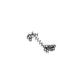 CC(NCCCCCCCCCCCC(C=O)(C=O)NC(C)=C1CCOC(=O)S1)=C1CCOC(=O)S1